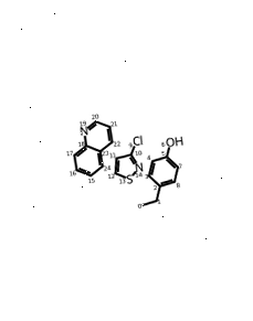 CCc1ccc(O)cc1.Clc1ccsn1.c1ccc2ncccc2c1